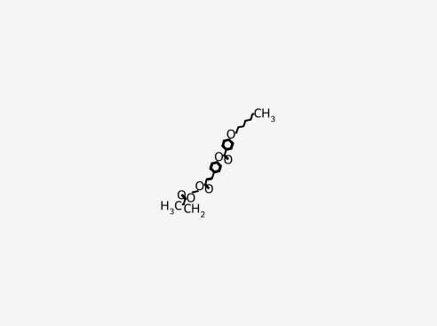 C=C(C)C(=O)OCCOC(=O)/C=C/c1ccc(OC(=O)c2ccc(OCCCCCCC)cc2)cc1